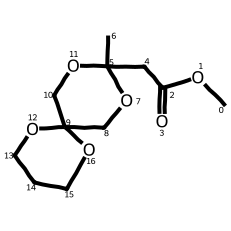 COC(=O)CC1(C)OCC2(CO1)OCCCO2